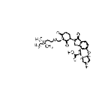 C[Si](C)(C)CCOCN1C(=O)CCC(N2Cc3cc(O[C@H]4CNC[C@@H]4NC(=O)O)ccc3C2=O)C1=O